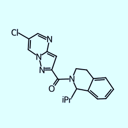 CC(C)C1c2ccccc2CCN1C(=O)c1cc2ncc(Cl)cn2n1